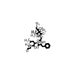 CCC(C)(C)C(C)(C(=O)NCC(=O)NC(Cc1ccccc1)C(=O)NC(CC(C)C)C(=O)NCC=O)C(C)(C)C